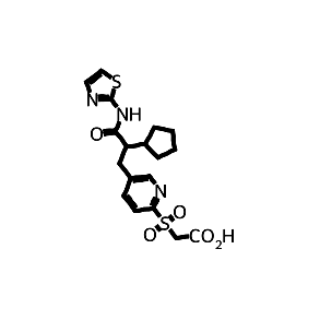 O=C(O)CS(=O)(=O)c1ccc(CC(C(=O)Nc2nccs2)C2CCCC2)cn1